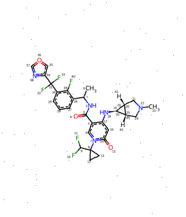 CC(NC(=O)c1cn(C2(C(F)F)CC2)c(=O)cc1N[C@H]1[C@@H]2CN(C)C[C@@H]21)c1cccc(C(F)(F)c2cocn2)c1F